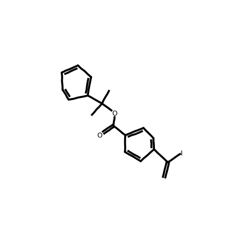 C=C(I)c1ccc(C(=O)OC(C)(C)c2ccccc2)cc1